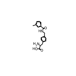 Cc1cccc(C(=O)NCc2ccc(C[C@H](N)C(=O)O)cc2)c1